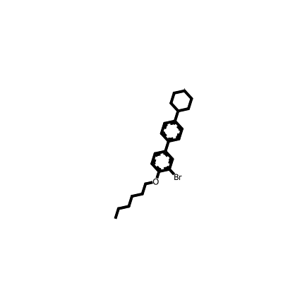 CCCCCCOc1ccc(-c2ccc(C3CC[CH]CC3)cc2)cc1Br